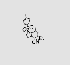 CCc1cc(C)c2c(ccn2S(=O)(=O)c2ccc(C)cc2)c1C#N